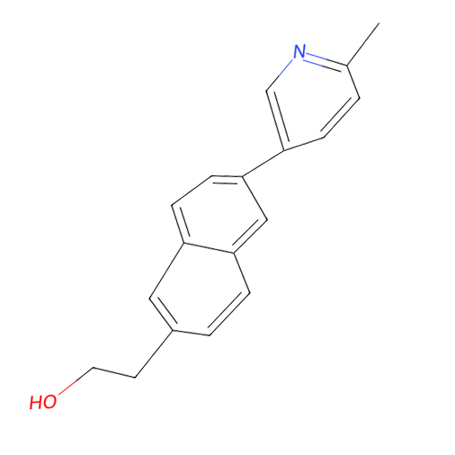 Cc1ccc(-c2ccc3cc(CCO)ccc3c2)cn1